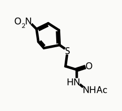 CC(=O)NNC(=O)CSc1ccc([N+](=O)[O-])cc1